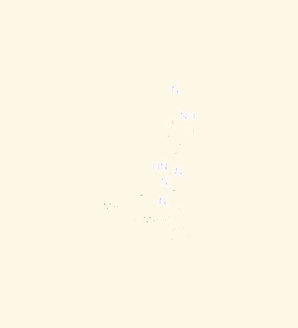 COc1ccc(N(C(=O)Oc2c(C)cccc2C)c2ccnc(Nc3ccc(S(=O)(=O)NCCN(C)C)cc3)n2)c(OC)c1